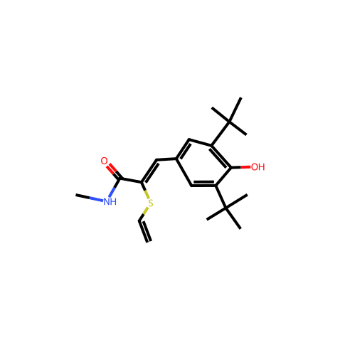 C=CS/C(=C\c1cc(C(C)(C)C)c(O)c(C(C)(C)C)c1)C(=O)NC